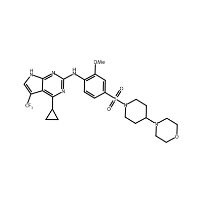 COc1cc(S(=O)(=O)N2CCC(N3CCOCC3)CC2)ccc1Nc1nc(C2CC2)c2c(C(F)(F)F)c[nH]c2n1